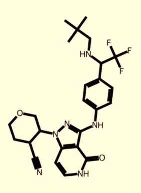 CC(C)(C)CNC(c1ccc(Nc2nn(C3COCCC3C#N)c3cc[nH]c(=O)c23)cc1)C(F)(F)F